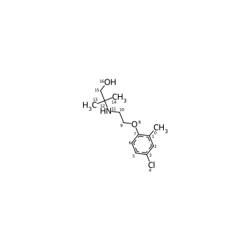 Cc1cc(Cl)ccc1OCCNC(C)(C)CO